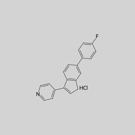 Cl.Fc1ccc(-c2ccc3c(c2)CC=C3c2ccncc2)cc1